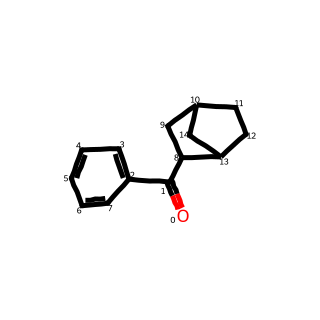 O=C(c1ccccc1)C1CC2CCC1C2